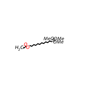 C=CC(=O)OCCCCCCCCCCCC[Si](OC)(OC)OC